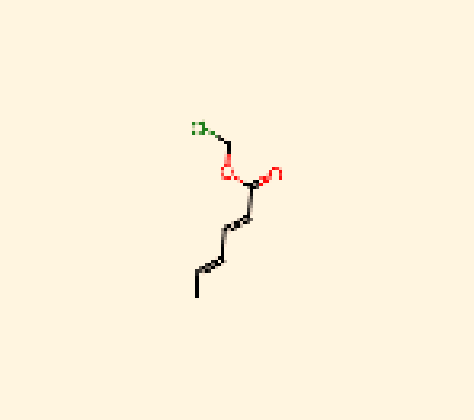 CC=CC=CC(=O)OCCl